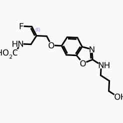 O=C(O)NC/C(=C\F)COc1ccc2nc(NCCCO)oc2c1